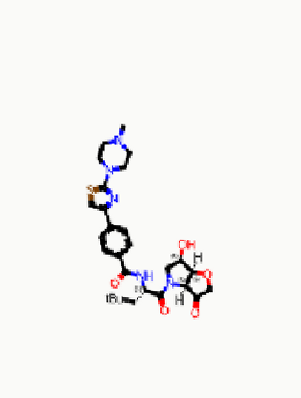 CN1CCN(c2nc(-c3ccc(C(=O)N[C@@H](CC(C)(C)C)C(=O)N4C[C@@H](O)[C@H]5OCC(=O)[C@H]54)cc3)cs2)CC1